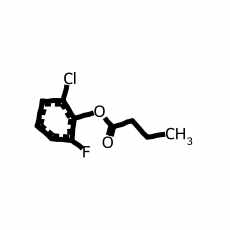 CCCC(=O)Oc1c(F)cccc1Cl